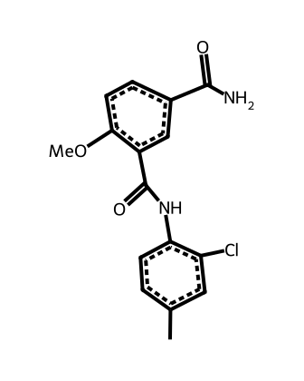 COc1ccc(C(N)=O)cc1C(=O)Nc1ccc(C)cc1Cl